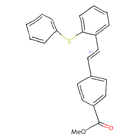 COC(=O)c1ccc(/C=C/c2ccccc2Sc2ccccc2)cc1